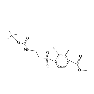 COC(=O)c1ccc(S(=O)(=O)CCNC(=O)OC(C)(C)C)c(F)c1C